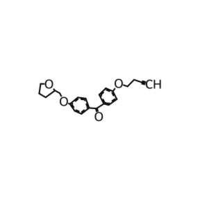 C#CCCOc1ccc(C(=O)c2ccc(OCC3CCCO3)cc2)cc1